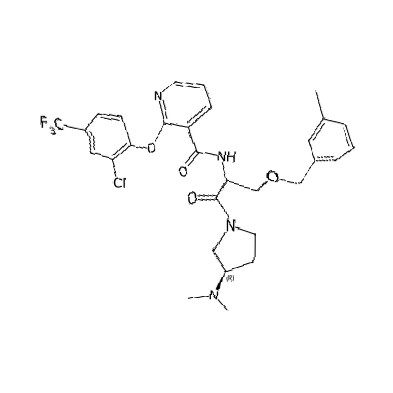 Cc1cccc(COCC(NC(=O)c2cccnc2Oc2ccc(C(F)(F)F)cc2Cl)C(=O)N2CC[C@@H](N(C)C)C2)c1